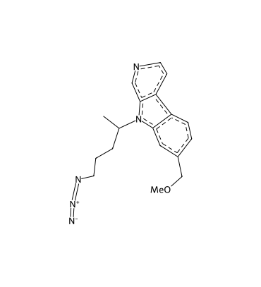 COCc1ccc2c3ccncc3n(C(C)CCCN=[N+]=[N-])c2c1